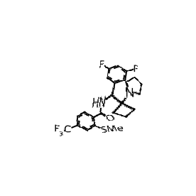 CSc1cc(C(F)(F)F)ccc1C(=O)NC(c1cc(F)cc(F)c1)C1(N2CCCC2)CCC1